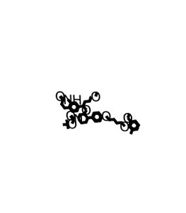 COCCCC(OC1CN(C(=O)OC(C)(C)C)CCC1c1ccc(OCCCCOc2c(C)cccc2OC)cc1)c1ccc2c(c1)NC(=O)CC2